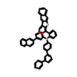 c1ccc(-c2cccc(-c3ccc(N(c4cccc(-c5ccc6ccccc6c5)c4)c4ccccc4-c4cccc5c4oc4cc6ccccc6cc45)cc3)c2)cc1